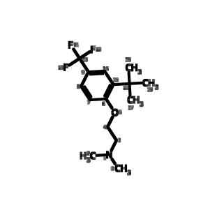 CN(C)CCOc1ccc(C(F)(F)F)cc1C(C)(C)C